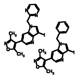 Cc1noc(C)c1-c1cnc2c(I)cn(Cc3ccccc3)c2c1.Cc1noc(C)c1-c1cnc2c(I)cn(Cc3ncccn3)c2c1